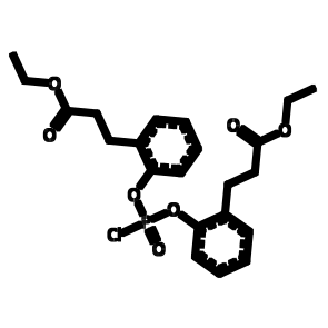 CCOC(=O)CCc1ccccc1OP(=O)(Cl)Oc1ccccc1CCC(=O)OCC